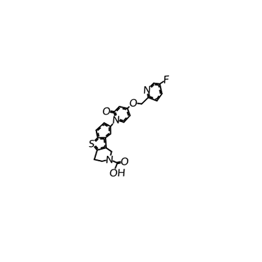 O=C(O)N1CCc2sc3ccc(-n4ccc(OCc5ccc(F)cn5)cc4=O)cc3c2C1